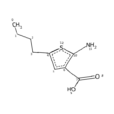 CCCCc1cc(C(=O)O)c(N)s1